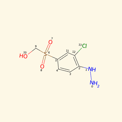 NNc1ccc(S(=O)(=O)CO)cc1Cl